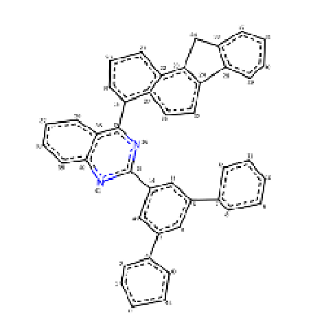 c1ccc(-c2cc(-c3ccccc3)cc(-c3nc(-c4cccc5c6c(ccc45)-c4ccccc4C6)c4ccccc4n3)c2)cc1